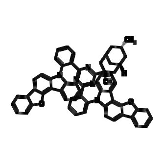 C[C@H]1CC2C[C@H](C1)CC(C)(c1nc(-c3ccccc3-n3c4ccccc4c4c5oc6ccccc6c5ccc43)nc(-c3ccccc3-n3c4ccccc4c4c5oc6ccccc6c5ccc43)n1)C2